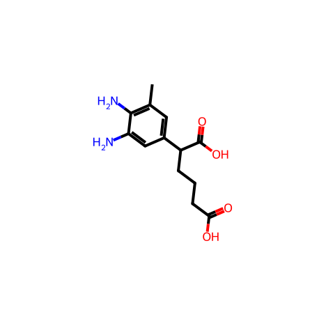 Cc1cc(C(CCCC(=O)O)C(=O)O)cc(N)c1N